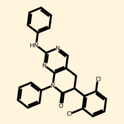 O=C1C(c2c(Cl)cccc2Cl)Cc2cnc(Nc3ccccc3)nc2N1c1ccccc1